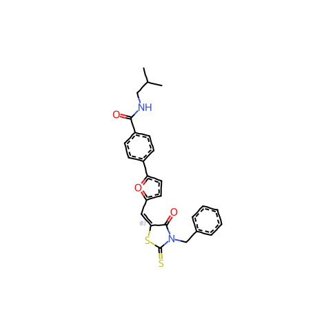 CC(C)CNC(=O)c1ccc(-c2ccc(/C=C3/SC(=S)N(Cc4ccccc4)C3=O)o2)cc1